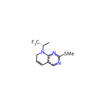 CSc1ncc2c(n1)N([C@@H](C)C(F)(F)F)CC=C2